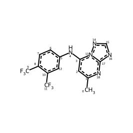 Cc1cc(Nc2ccc(C(F)(F)F)c(C(F)(F)F)c2)n2ncnc2n1